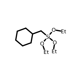 CCO[Si](CC1CCCCC1)(OCC)OCC